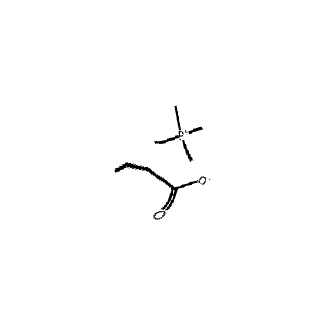 CCC(=O)[O-].C[P+](C)(C)C